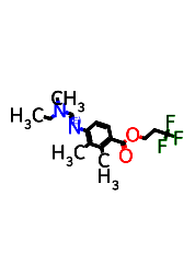 CCN(C)/C=N/c1ccc(C(=O)OCCC(F)(F)F)c(C)c1C